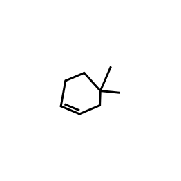 CC1(C)CC=CCC1